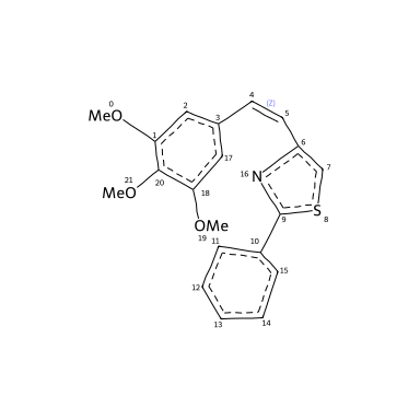 COc1cc(/C=C\c2csc(-c3ccccc3)n2)cc(OC)c1OC